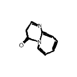 O=C1CC=NC2=CC=CC=CN12